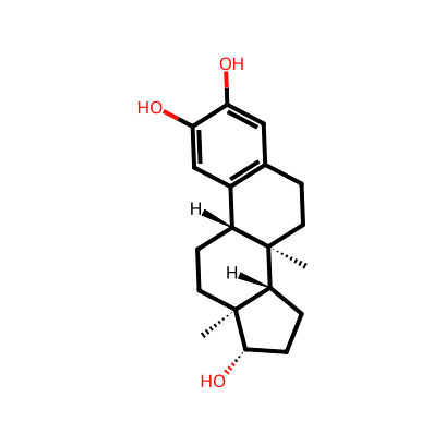 C[C@@]12CCc3cc(O)c(O)cc3[C@H]1CC[C@@]1(C)[C@H]2CC[C@@H]1O